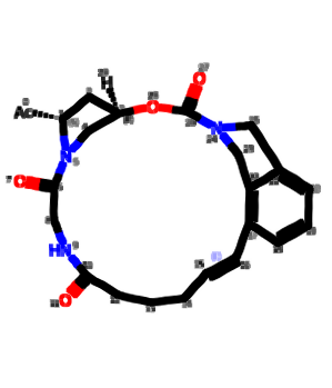 CC(=O)[C@@H]1C[C@@H]2CN1C(=O)CNC(=O)CCC/C=C/c1cccc3c1CN(C3)C(=O)O2